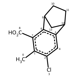 Cc1c(Cl)cc2c(c1C(=O)O)C1CCC2C1